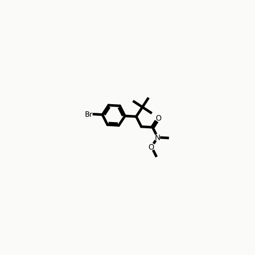 CON(C)C(=O)CC(c1ccc(Br)cc1)C(C)(C)C